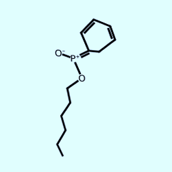 CCCCCCO/[P+]([O-])=C1/C=CC=CC1